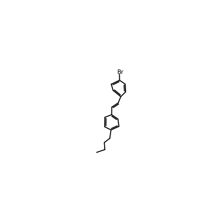 CCCCc1ccc(/C=C/c2ccc(Br)cc2)cc1